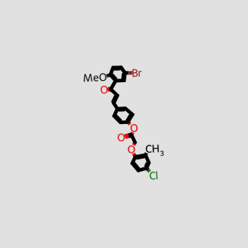 COc1ccc(Br)cc1C(=O)/C=C/c1ccc(OC(=O)COc2ccc(Cl)cc2C)cc1